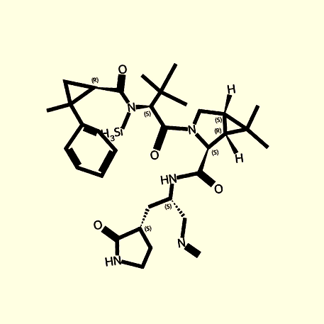 C=NC[C@H](C[C@@H]1CCNC1=O)NC(=O)[C@@H]1[C@@H]2[C@H](CN1C(=O)[C@@H](N([SiH3])C(=O)[C@@H]1CC1(C)c1ccccc1)C(C)(C)C)C2(C)C